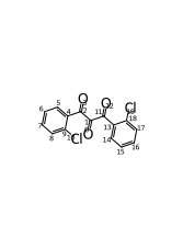 O=C(C(=O)c1ccccc1Cl)C(=O)c1ccccc1Cl